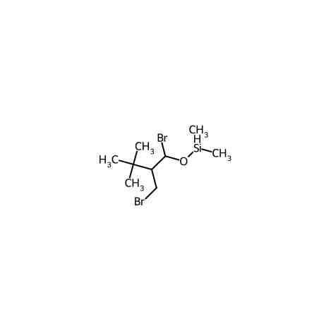 C[SiH](C)OC(Br)C(CBr)C(C)(C)C